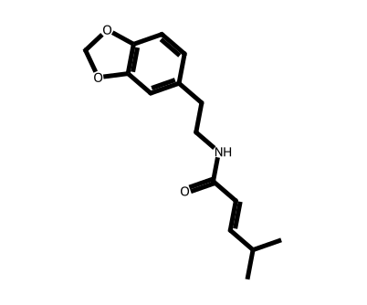 CC(C)/C=C/C(=O)NCCc1ccc2c(c1)OCO2